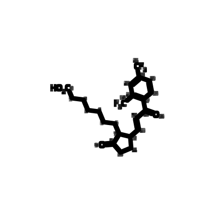 O=C(O)CCCCCCC1C(=O)CCC1C=CC(=O)c1ccc(C(F)(F)F)cc1C(F)(F)F